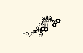 CC(C)[C@H](NC(=O)OCC1c2ccccc2-c2ccccc21)C(=O)N[C@@H](C)C(=O)Nc1cc2c(c3ccccc13)C(CCl)CN2C(=O)C12CC(C(=O)O)(C1)C2